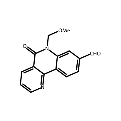 COCn1c(=O)c2cccnc2c2ccc(C=O)cc21